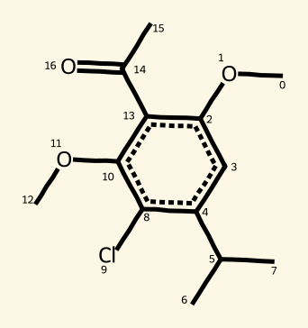 COc1cc(C(C)C)c(Cl)c(OC)c1C(C)=O